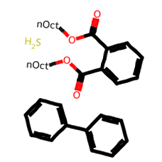 CCCCCCCCOC(=O)c1ccccc1C(=O)OCCCCCCCC.S.c1ccc(-c2ccccc2)cc1